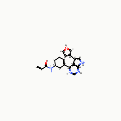 C=CC(=O)NC1CCC=C(c2ncnc3[nH]cc(-c4ccoc4)c23)C1